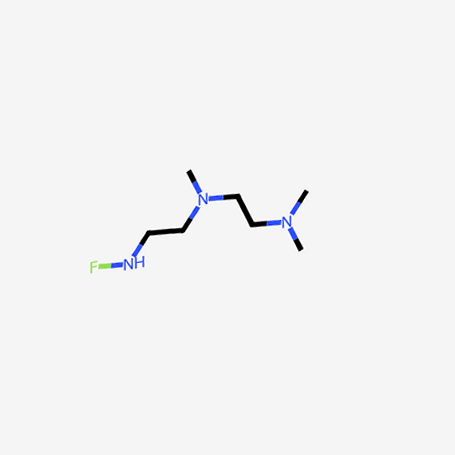 CN(C)CCN(C)CCNF